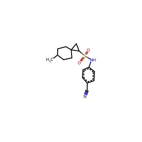 CC1CCC2(CC1)CC2S(=O)(=O)Nc1ccc(C#N)cc1